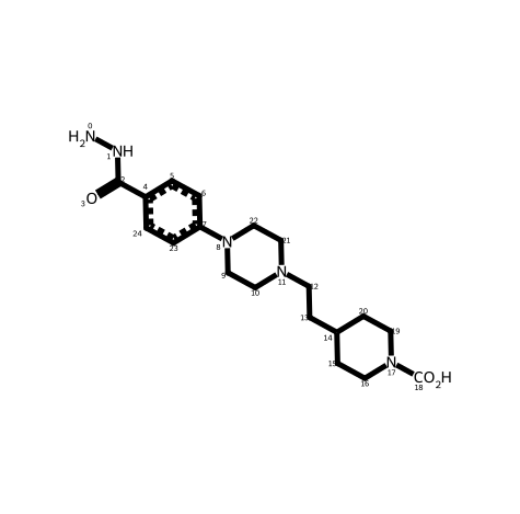 NNC(=O)c1ccc(N2CCN(CCC3CCN(C(=O)O)CC3)CC2)cc1